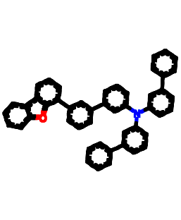 c1ccc(-c2cccc(N(c3cccc(-c4ccccc4)c3)c3cccc(-c4cccc(-c5cccc6c5oc5ccccc56)c4)c3)c2)cc1